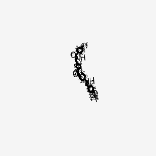 O=C(NCc1ccc([S+]([O-])N2CCC(NCc3ccc(OC(F)F)cc3)CC2)s1)c1ccc(Cl)cc1